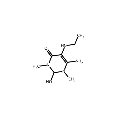 CCNC1=C(N)N(C)C(O)N(C)C1=O